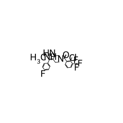 CN/C(=C1/CCN(C(=O)c2cccc(C(F)(F)F)c2Cl)CC1=N)c1ccc(F)cc1